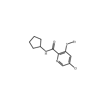 CCSc1cc(Cl)cnc1C(=O)NC1CCCC1